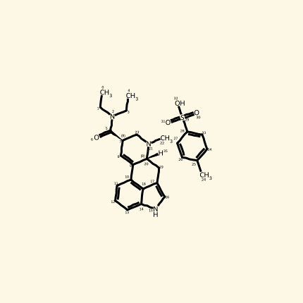 CCN(CC)C(=O)[C@@H]1C=C2c3cccc4[nH]cc(c34)C[C@H]2N(C)C1.Cc1ccc(S(=O)(=O)O)cc1